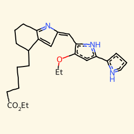 CCOC(=O)CCCCC1CCCC2=NC(=Cc3[nH]c(-c4ccc[nH]4)cc3OCC)C=C21